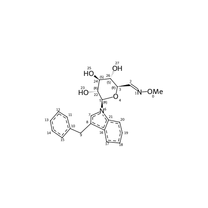 CON=C[C@H]1O[C@@H](n2cc(Cc3ccccc3)c3ccccc32)[C@H](O)[C@@H](O)[C@@H]1O